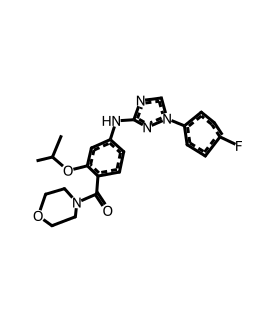 CC(C)Oc1cc(Nc2ncn(-c3ccc(F)cc3)n2)ccc1C(=O)N1CCOCC1